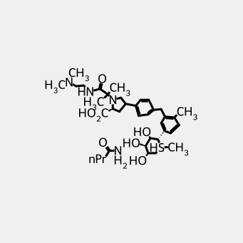 CCCC(N)=O.Cc1ccc([C@H]2[C@H](O)[C@H](O)[C@H](O)C[SH]2C)cc1Cc1ccc(C2C[C@@H](C(=O)O)N(C(C)(C)C(=O)NCCN(C)C)C2)cc1